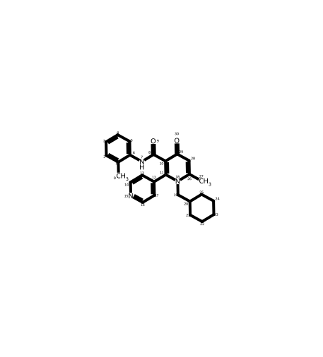 Cc1ccccc1NC(=O)c1c(-c2ccncc2)n(CC2CCCCC2)c(C)cc1=O